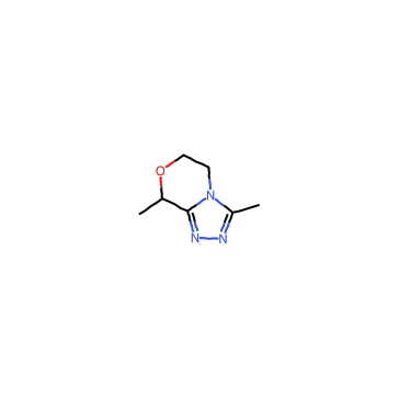 Cc1nnc2n1CCOC2C